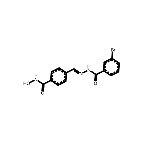 O=C(NO)c1ccc(/C=N/NC(=O)c2cccc(Br)c2)cc1